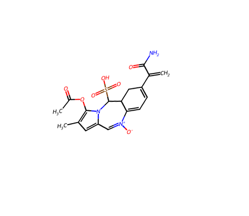 C=C(C(N)=O)C1=CC=C2C(C1)C(S(=O)(=O)O)n1c(cc(C)c1OC(C)=O)C=[N+]2[O-]